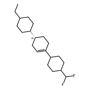 CCC1CCC([C@H]2CC=C(C3CCC(C(F)F)CC3)CC2)CC1